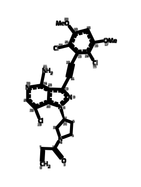 C=CC(=O)N1CC[C@H](n2nc(C#Cc3c(Cl)c(OC)cc(OC)c3Cl)c3c(N)ncc(Cl)c32)C1